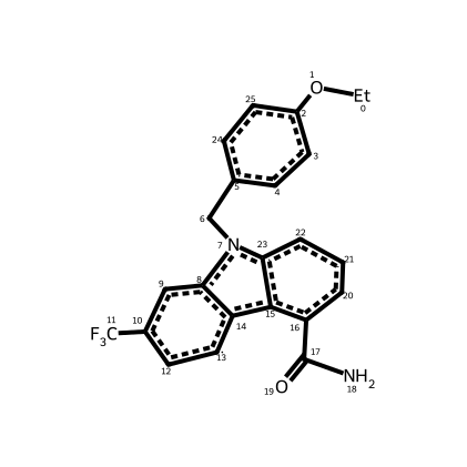 CCOc1ccc(Cn2c3cc(C(F)(F)F)c[c]c3c3c(C(N)=O)cccc32)cc1